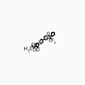 CN(C)C(=O)c1ccc(N2CCC(C3CCN(C(=O)C(c4ccccc4)C(F)(F)C(F)(F)F)CC3)CC2)cc1Cl